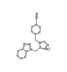 Cl.N#Cc1ccc(Cn2cncc2Cn2nnc3ccccc32)cc1